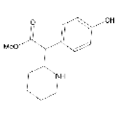 COC(=O)C(c1ccc(O)cc1)C1CCCCN1